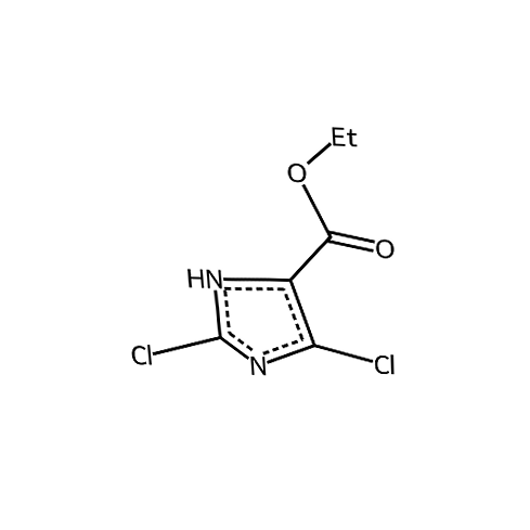 CCOC(=O)c1[nH]c(Cl)nc1Cl